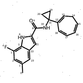 Cc1cc(F)c2[nH]c(C(=O)NC3(C4=CCC=CC=C4)CC3)cc2c1